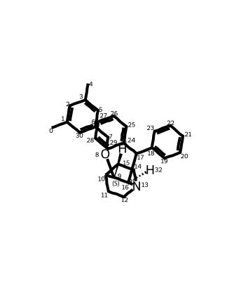 Cc1cc(C)cc(CO[C@H]2C3CCN(CC3)[C@@H]2C(c2ccccc2)c2ccccc2)c1